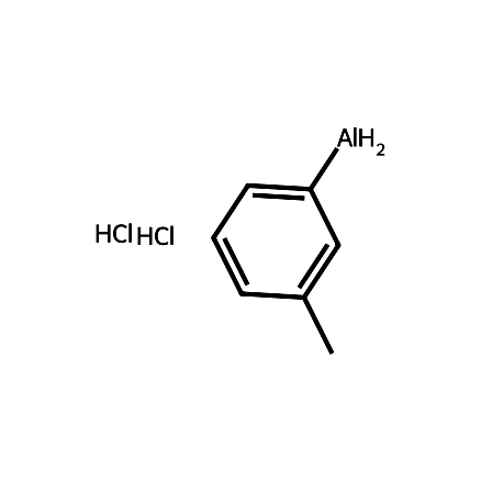 Cc1ccc[c]([AlH2])c1.Cl.Cl